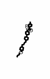 CCCCOC1CCC(CCCCC2CCC(C3CCC(OC(=O)c4ccc(C)cc4F)CC3)CC2)CC1